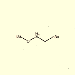 CCCCC[SiH2]OC(C)CC